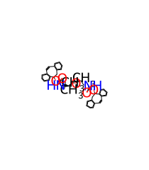 CC(CCNC(=O)OC1Cc2ccccc2C#Cc2ccccc21)OCCC(C)(C)NC(=O)OC1Cc2ccccc2C#Cc2ccccc21